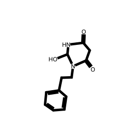 O=C1CC(=O)N(CCc2ccccc2)C(O)N1